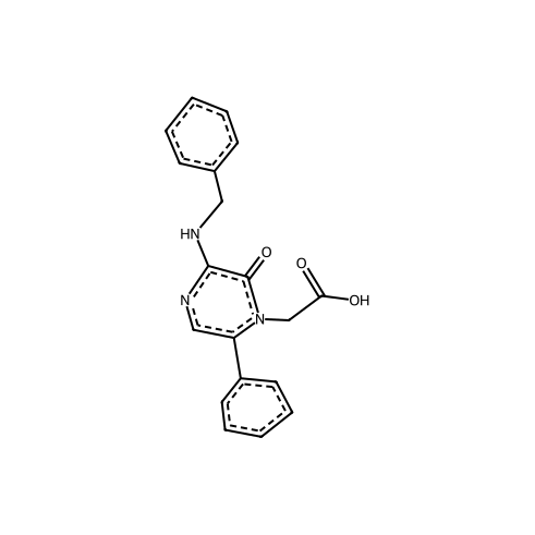 O=C(O)Cn1c(-c2ccccc2)cnc(NCc2ccccc2)c1=O